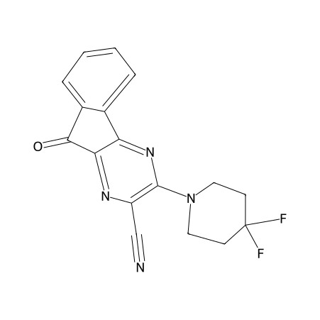 N#Cc1nc2c(nc1N1CCC(F)(F)CC1)-c1ccccc1C2=O